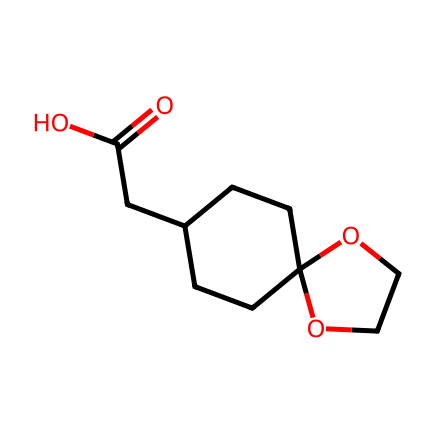 O=C(O)CC1CCC2(CC1)OCCO2